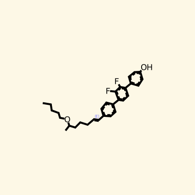 CCCCCOC(C)CCC/C=C/c1ccc(-c2ccc(-c3ccc(O)cc3)c(F)c2F)cc1